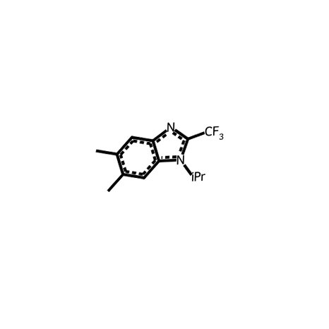 Cc1cc2nc(C(F)(F)F)n(C(C)C)c2cc1C